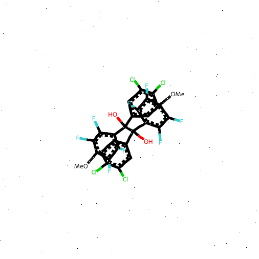 COc1c(F)c(F)c(C(O)(c2ccc(Cl)c(Cl)c2)C(O)(c2ccc(Cl)c(Cl)c2)c2c(F)c(F)c(OC)c(F)c2F)c(F)c1F